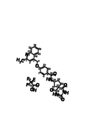 Cc1cc(COc2ccc(C(=O)N[C@H]3CCC4(C3)C(=O)NC(=O)NC4=O)cc2)c2ccccc2n1.O=C(O)C(F)(F)F